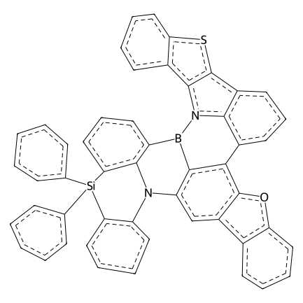 c1ccc([Si]2(c3ccccc3)c3ccccc3N3c4cc5c(oc6ccccc65)c5c4B(c4cccc2c43)n2c3c-5cccc3c3sc4ccccc4c32)cc1